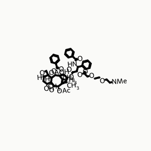 CNCCOCCOCC(=O)O[C@@H](C(=O)O[C@H]1C[C@@]2(O)[C@@H](OC(=O)c3ccccc3)[C@@H]3[C@]4(OC(C)=O)CO[C@@H]4C[C@H](O)[C@@]3(C)C(=O)[C@H](OC(C)=O)C(=C1C)C2(C)C)[C@@H](NC(=O)c1ccccc1)c1ccccc1